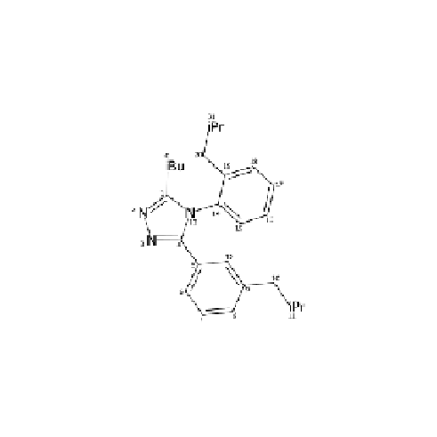 CCC(C)c1nnc(-c2cccc(CC(C)C)c2)n1-c1ccccc1CC(C)C